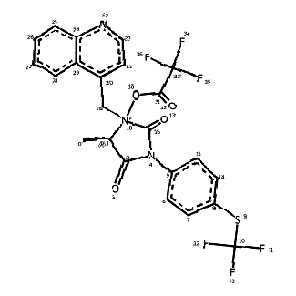 C[C@@H]1C(=O)N(c2ccc(SC(F)(F)F)cc2)C(=O)[N+]1(Cc1ccnc2ccccc12)OC(=O)C(F)(F)F